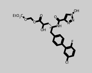 CCOC(=O)OCOC(=O)C(O)C[C@@H](Cc1ccc(-c2cc(Cl)ccc2F)cc1)NC(=O)c1cn(O)nn1